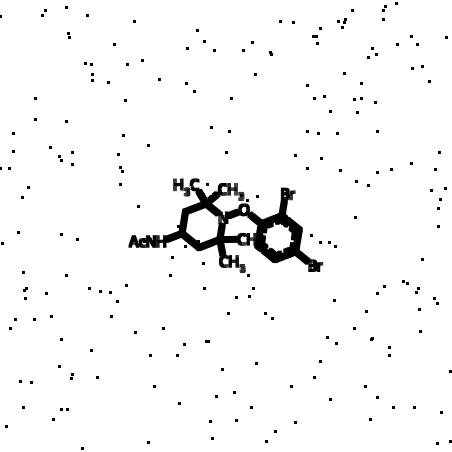 CC(=O)NC1CC(C)(C)N(Oc2ccc(Br)cc2Br)C(C)(C)C1